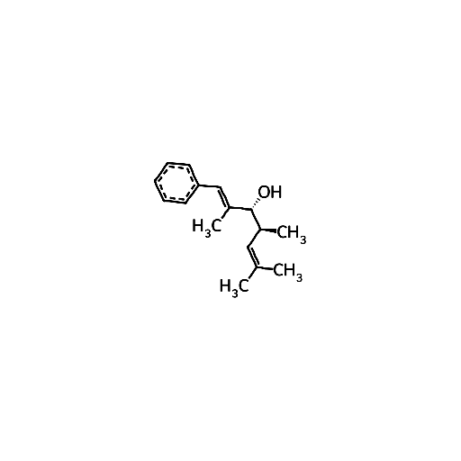 CC(C)=C[C@H](C)[C@@H](O)/C(C)=C/c1ccccc1